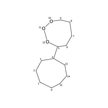 C1CCCC(C2CCCCOOO2)CCC1